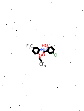 O=C(Nc1cc(C(F)(F)F)ccc1OCCC(F)(F)F)c1cc(Cl)ccc1O